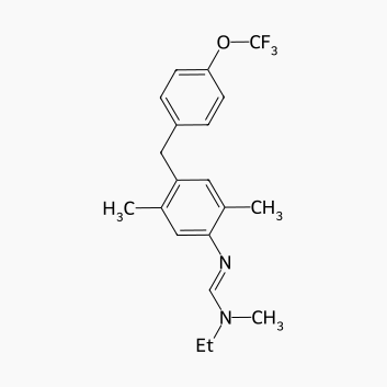 CCN(C)C=Nc1cc(C)c(Cc2ccc(OC(F)(F)F)cc2)cc1C